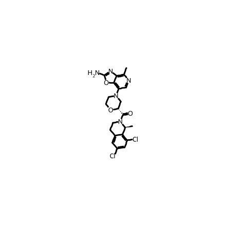 Cc1ncc(N2CCO[C@@H](C(=O)N3CCc4cc(Cl)cc(Cl)c4[C@@H]3C)C2)c2oc(N)nc12